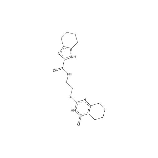 O=C(NCCSc1nc2c(c(=O)[nH]1)CCCC2)c1nc2c([nH]1)CCCC2